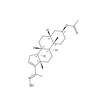 CC(=O)O[C@H]1CC[C@@]2(C)[C@H](CC[C@@H]3[C@@H]2CC[C@]2(C)C(/C(C)=N/O)=CC[C@@H]32)C1